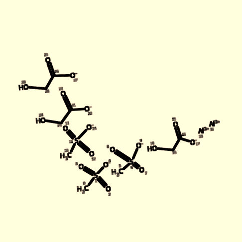 CS(=O)(=O)[O-].CS(=O)(=O)[O-].CS(=O)(=O)[O-].O=C([O-])CO.O=C([O-])CO.O=C([O-])CO.[Al+3].[Al+3]